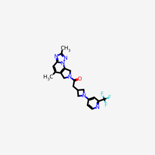 Cc1nc2cc(C)c3c(n2n1)CN(C(=O)CC1CN(c2ccnc(C(F)(F)F)c2)C1)C3